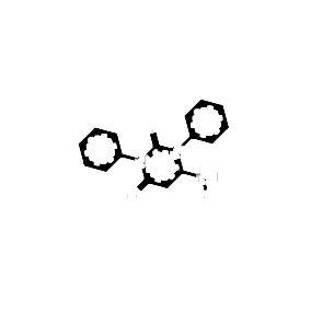 CNc1cc(=O)n(-c2ccccc2)c(=O)n1-c1ccccc1